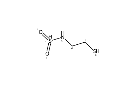 O=[SH](=O)NCCS